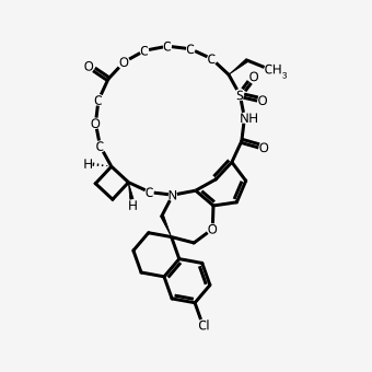 CC[C@@H]1CCCCOC(=O)COC[C@@H]2CC[C@H]2CN2C[C@@]3(CCCc4cc(Cl)ccc43)COc3ccc(cc32)C(=O)NS1(=O)=O